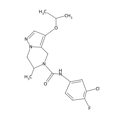 CC(C)Oc1cnn2c1CN(C(=O)Nc1ccc(F)c(Cl)c1)C(C)C2